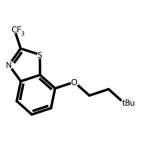 CC(C)(C)CCOc1cccc2nc(C(F)(F)F)sc12